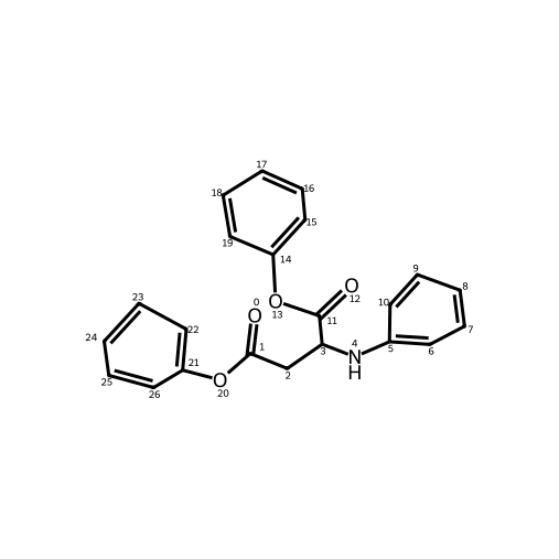 O=C(CC(Nc1ccccc1)C(=O)Oc1ccccc1)Oc1ccccc1